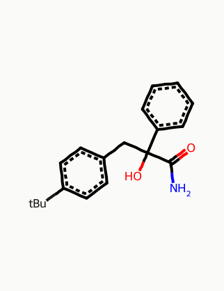 CC(C)(C)c1ccc(CC(O)(C(N)=O)c2ccccc2)cc1